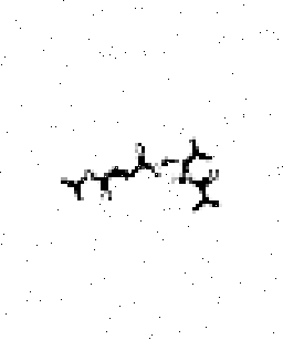 CC(C)OC(=O)/C=C/C(=O)OC[C@@H](NC(=O)C(C)C)C(C)C